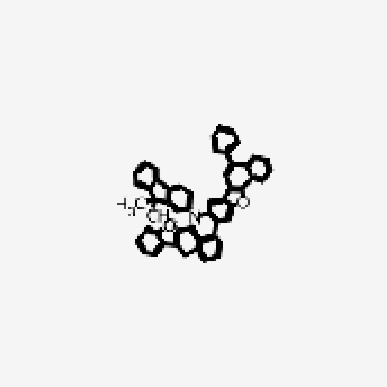 CC1(C)c2ccccc2-c2ccc(N(C3=CCCc4c3oc3ccccc43)c3cc4c(cc3-c3ccccc3)oc3c5ccccc5c(-c5ccccc5)cc43)cc21